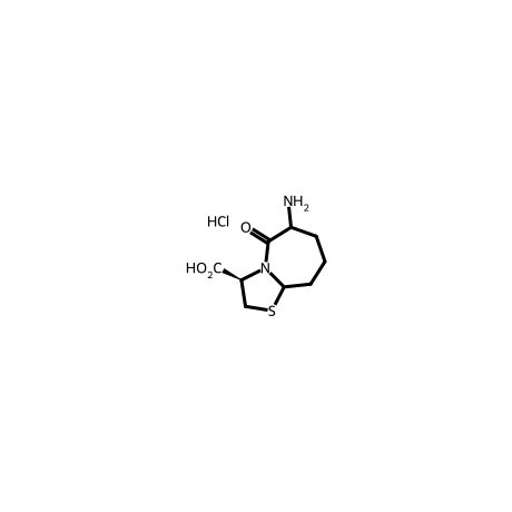 Cl.NC1CCCC2SC[C@@H](C(=O)O)N2C1=O